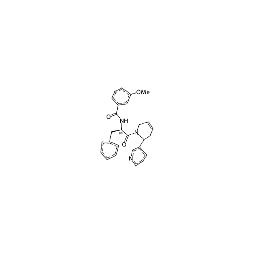 COc1cccc(C(=O)N[C@H](Cc2ccccc2)C(=O)N2CC=CCC2c2cccnc2)c1